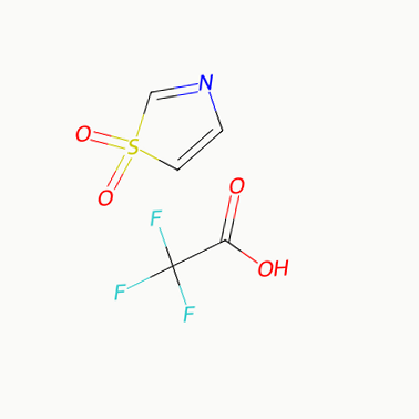 O=C(O)C(F)(F)F.O=S1(=O)C=CN=C1